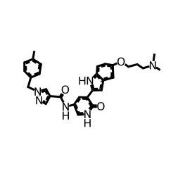 Cc1ccc(Cn2cc(C(=O)Nc3c[nH]c(=O)c(-c4cc5cc(OCCCN(C)C)ccc5[nH]4)c3)cn2)cc1